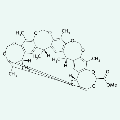 COC(=O)[C@@H]1Oc2c3cc4c(c2C)OCOc2c(cc5c(c2C)OCOc2c(cc6c(c2C)OCOc2c(cc(c(c2C)O1)[C@@H]3C)[C@H]6C)[C@H]5C)[C@H]4C